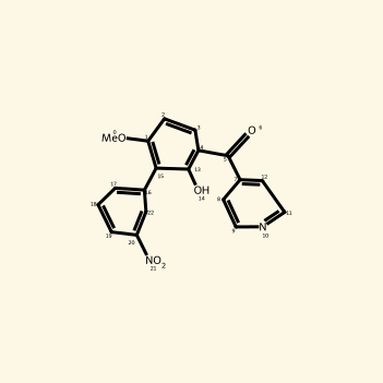 COc1ccc(C(=O)c2ccncc2)c(O)c1-c1cccc([N+](=O)[O-])c1